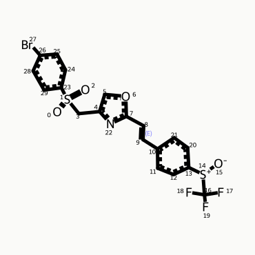 O=S(=O)(Cc1coc(/C=C/c2ccc([S+]([O-])C(F)(F)F)cc2)n1)c1ccc(Br)cc1